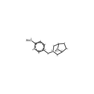 COc1ccc(CN2CC3CCC(C2)N3C)cn1